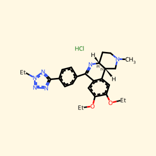 CCOc1cc2c(cc1OCC)[C@H]1CN(C)CC[C@H]1N=C2c1ccc(-c2nnn(CC)n2)cc1.Cl